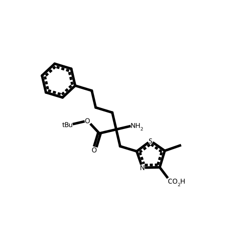 Cc1sc(CC(N)(CCCc2ccccc2)C(=O)OC(C)(C)C)nc1C(=O)O